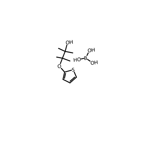 CC(C)(O)C(C)(C)Oc1cccs1.OB(O)O